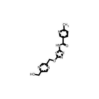 Cc1ccc(C(=O)Nc2nnc(OCc3cnc(CO)cn3)s2)cn1